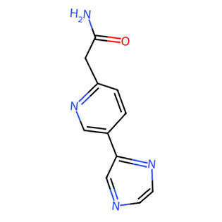 NC(=O)Cc1ccc(-c2cnccn2)cn1